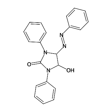 O=C1N(c2ccccc2)C(O)C(N=Nc2ccccc2)N1c1ccccc1